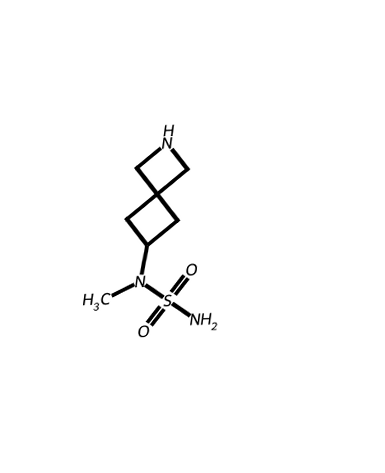 CN(C1CC2(CNC2)C1)S(N)(=O)=O